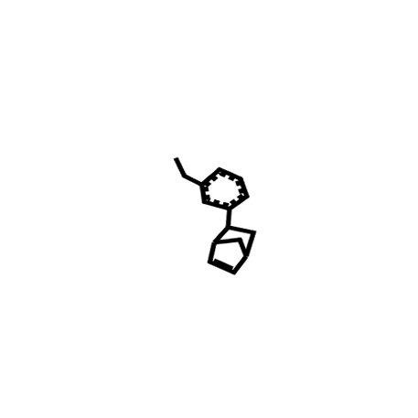 CCc1cccc(C2CC3C=CC2C3)c1